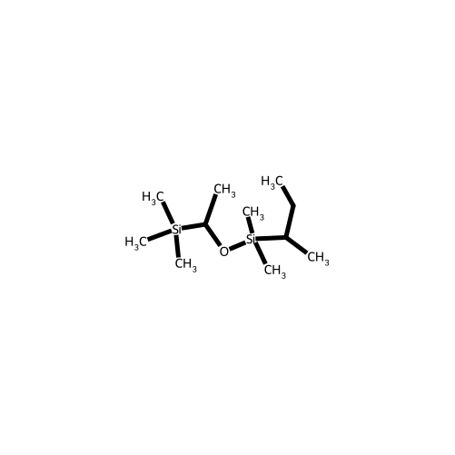 CCC(C)[Si](C)(C)OC(C)[Si](C)(C)C